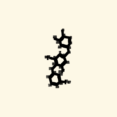 Cc1ccc(Cc2cc(F)c(Cc3cccc(F)c3)c(F)c2)cc1C